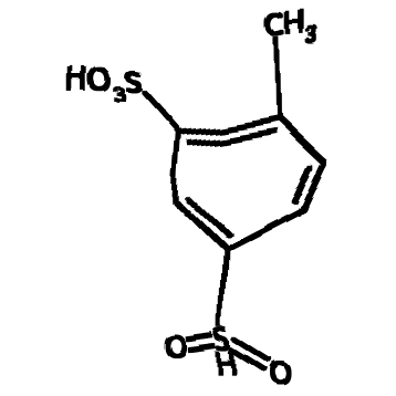 Cc1ccc([SH](=O)=O)cc1S(=O)(=O)O